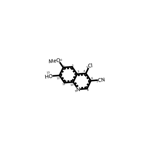 COc1cc2c(Cl)c([14C]#N)cnc2cc1O